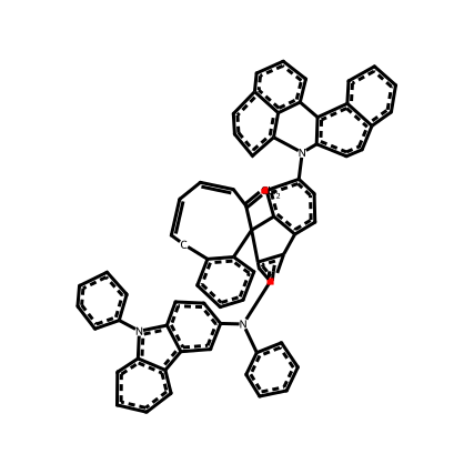 C=C1/C=C\C=C/Cc2ccccc2C12c1cc(N(c3ccccc3)c3ccc4c(c3)c3ccccc3n4-c3ccccc3)ccc1-c1ccc(N3c4ccc5ccccc5c4-c4cccc5cccc3c45)cc12